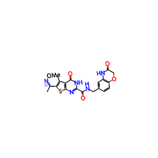 CO/N=C(/C)c1sc2nc(C(=O)NCc3ccc4c(c3)NC(=O)CO4)[nH]c(=O)c2c1C